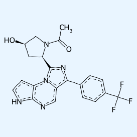 CC(=O)N1C[C@H](O)C[C@@H]1c1nc(-c2ccc(C(F)(F)F)cc2)c2cnc3[nH]ccc3n12